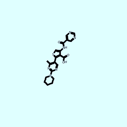 Cc1nc(N2CCCCC2)ncc1-c1scc(NC(=O)c2cncnc2)c1C(=O)O